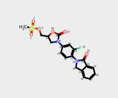 CS(=O)(=O)OCC1CN(c2ccc(N3Cc4ccccc4C3=O)c(F)c2)C(=O)O1